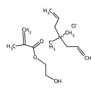 C=C(C)C(=O)OCCO.C=CC[N+](C)(C)CC=C.[Cl-]